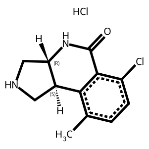 Cc1ccc(Cl)c2c1[C@H]1CNC[C@@H]1NC2=O.Cl